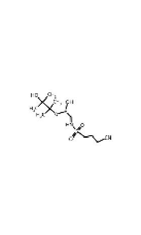 CC(C)(O)C(C)(C)OB(O)CNS(=O)(=O)CCCC#N